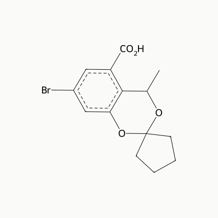 CC1OC2(CCCC2)Oc2cc(Br)cc(C(=O)O)c21